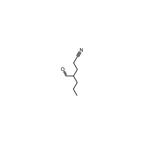 CCCC(C=O)CCC#N